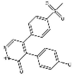 CS(=O)(=O)c1ccc(-c2cn[nH]c(=O)c2-c2ccc(Cl)cc2)cc1